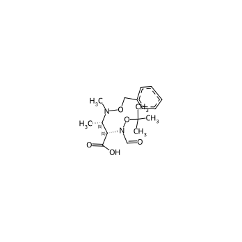 C[C@@H]([C@@H](C(=O)O)N(C=O)OC(C)(C)C)N(C)OCc1ccccc1